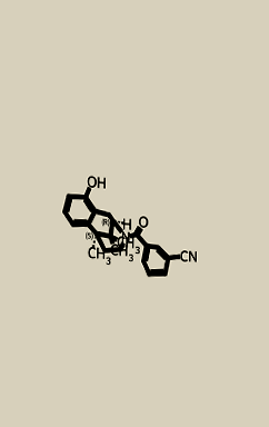 CC1(C)[C@H]2Cc3c(O)cccc3[C@]1(C)CCN2C(=O)c1cccc(C#N)c1